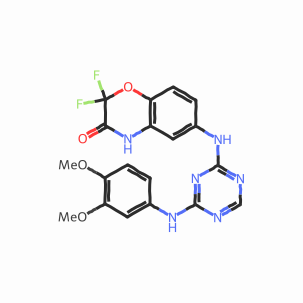 COc1ccc(Nc2ncnc(Nc3ccc4c(c3)NC(=O)C(F)(F)O4)n2)cc1OC